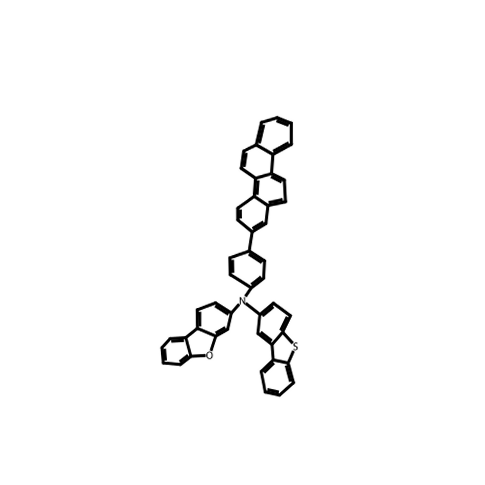 c1ccc2c(c1)ccc1c3ccc(-c4ccc(N(c5ccc6c(c5)oc5ccccc56)c5ccc6sc7ccccc7c6c5)cc4)cc3ccc21